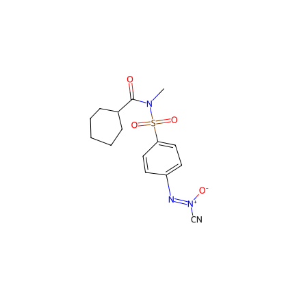 CN(C(=O)C1CCCCC1)S(=O)(=O)c1ccc(/N=[N+](\[O-])C#N)cc1